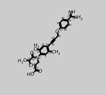 Cc1cc(N(CCC(=O)O)C(=O)C(C)C)c(C)cc1C#CCOc1ccc(C(=N)N)cc1